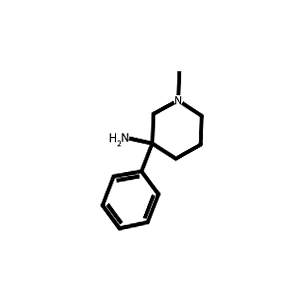 CN1CCCC(N)(c2ccccc2)C1